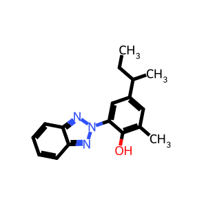 CCC(C)c1cc(C)c(O)c(-n2nc3ccccc3n2)c1